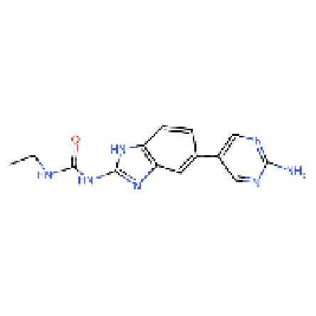 CCNC(=O)Nc1nc2cc(-c3cnc(N)nc3)ccc2[nH]1